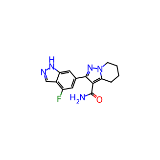 NC(=O)c1c(-c2cc(F)c3cn[nH]c3c2)nn2c1CCCC2